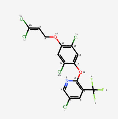 FC(F)(F)c1cc(Cl)cnc1Oc1cc(Cl)c(OCC=C(Cl)Cl)cc1Cl